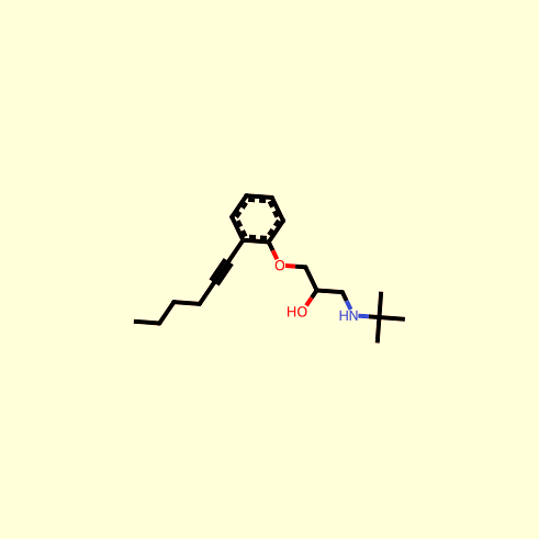 CCCCC#Cc1ccccc1OCC(O)CNC(C)(C)C